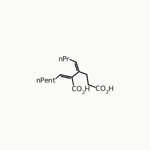 CCCC=C(CCC(=O)O)C(=CCCCCC)C(=O)O